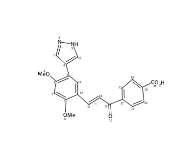 COc1cc(OC)c(-c2cn[nH]c2)cc1/C=C/C(=O)c1ccc(C(=O)O)cc1